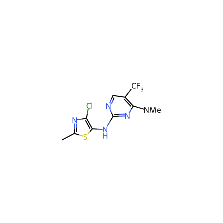 CNc1nc(Nc2sc(C)nc2Cl)ncc1C(F)(F)F